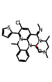 C/N=C(\c1cc(Cl)c(-c2cccs2)nc1N(C=O)c1ccccc1C(C)C)N1CCN(C)CC1C